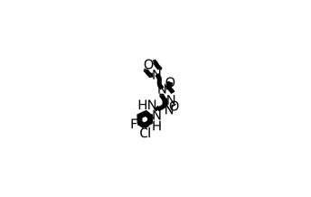 CC(=O)N(CCN1CCOCC1)Cc1nonc1C(=N)Nc1ccc(F)c(Cl)c1